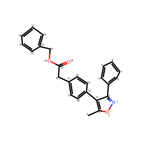 Cc1onc(-c2ccccc2)c1-c1ccc(CC(=O)OCc2ccccc2)cc1